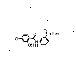 CCCCCC(=O)c1cccc(NC(=O)c2ccc(Cl)cc2O)c1